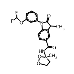 CC1C(=O)N(c2cccc(OC(F)F)c2)c2ccc(C(=O)NS3(C)CCOO3)cc21